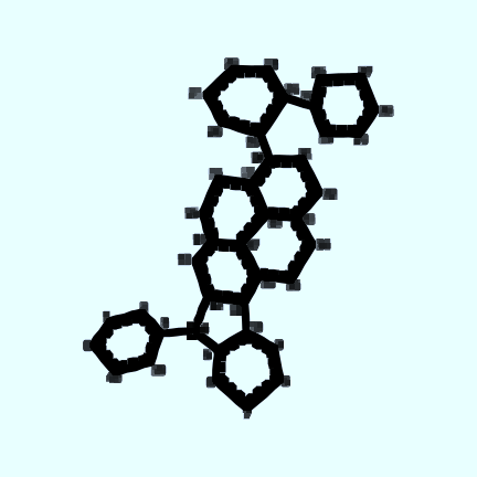 c1ccc(B2c3ccccc3-c3c2cc2ccc4c(-c5ccccc5-c5ccccc5)ccc5ccc3c2c54)cc1